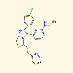 CC(C)CNc1nccc(-c2c(-c3ccc(F)cc3)nc3n2C(/C=C/c2ccccn2)CC3)n1